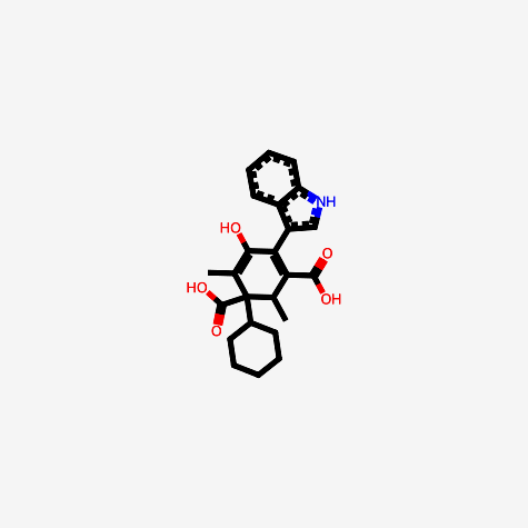 CC1=C(O)C(c2c[nH]c3ccccc23)=C(C(=O)O)C(C)C1(C(=O)O)C1CCCCC1